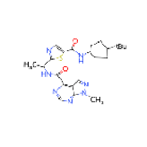 CC(NC(=O)c1ncnc2c1cnn2C)c1ncc(C(=O)NC2CCC(C(C)(C)C)CC2)s1